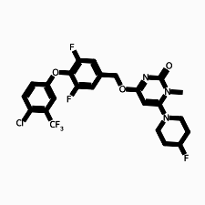 Cn1c(N2CCC(F)CC2)cc(OCc2cc(F)c(Oc3ccc(Cl)c(C(F)(F)F)c3)c(F)c2)nc1=O